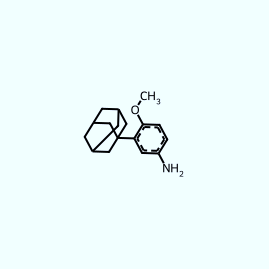 COc1ccc(N)cc1C12CC3CC(CC(C3)C1)C2